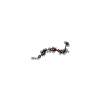 COc1ccc(C2=CN3C(=O)c4cc(C)c(OCCCOc5cc6c(cc5OC)C(=O)N5C=C(c7ccc(NC(=O)[C@H](C)CC(=O)[C@@H](NC(=O)CCCCCN8C(=O)C=CC8=O)C(C)C)cc7)C[C@H]5C=N6)cc4N=C[C@@H]3C2)cc1